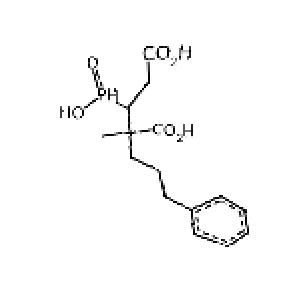 CC(CCCc1ccccc1)(C(=O)O)C(CC(=O)O)[PH](=O)O